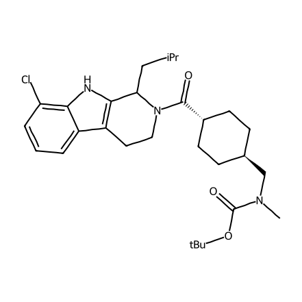 CC(C)CC1c2[nH]c3c(Cl)cccc3c2CCN1C(=O)[C@H]1CC[C@H](CN(C)C(=O)OC(C)(C)C)CC1